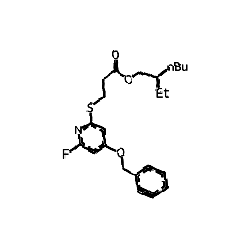 CCCCC(CC)COC(=O)CCSc1cc(OCc2c#cccc2)cc(F)n1